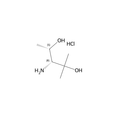 C[C@H](O)[C@@H](N)C(C)(C)O.Cl